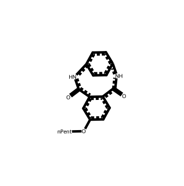 CCCCCOc1ccc2c(=O)[nH]c3ccc(cc3)[nH]c(=O)c2c1